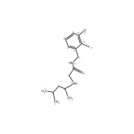 CC(C)CC(C)NCC(=O)NCc1cccc(Cl)c1F